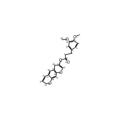 COc1ccc(CCC(=O)OC2=COc3cc4c(cc3C2)C=CCO4)cc1OC